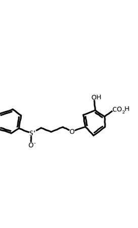 O=C(O)c1ccc(OCCC[S+]([O-])c2ccccc2)cc1O